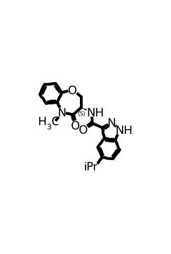 CC(C)c1ccc2[nH]nc(C(=O)N[C@H]3COc4ccccc4N(C)C3=O)c2c1